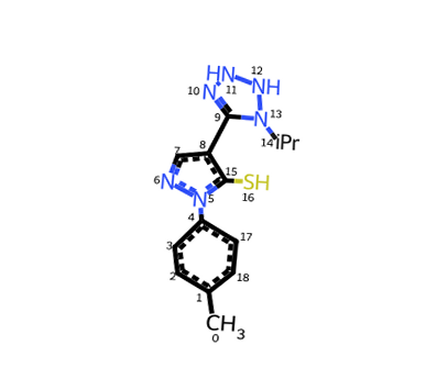 Cc1ccc(-n2ncc(C3=NNNN3C(C)C)c2S)cc1